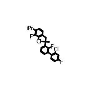 CC(C)c1ccc(CC(C)(C)c2cccc(-c3ccc(F)cc3Cl)c2F)c(Cl)c1F